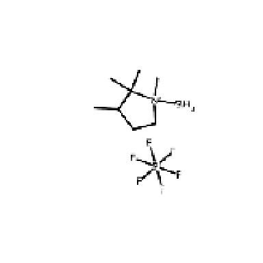 CC1CC[N+](C)([SiH3])C1(C)C.F[P-](F)(F)(F)(F)F